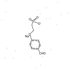 O=Cc1ccc(OCCS(=O)(=O)[O-])cc1.[Na+]